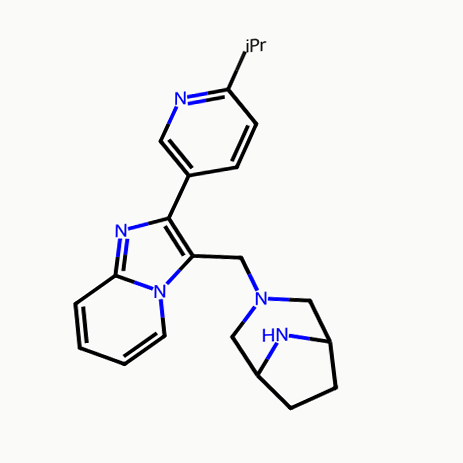 CC(C)c1ccc(-c2nc3ccccn3c2CN2CC3CCC(C2)N3)cn1